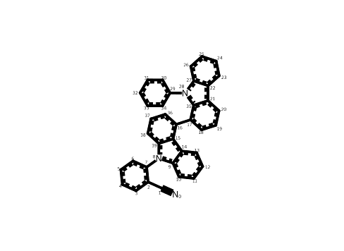 N#Cc1ccccc1-n1c2ccccc2c2c(-c3cccc4c5ccccc5n(-c5ccccc5)c34)cccc21